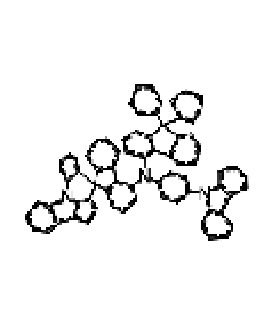 c1ccc(C2(c3ccccc3)c3ccccc3-c3c(N(c4ccc(-n5c6ccccc6c6ccccc65)cc4)c4cccc5c4-c4ccccc4C54c5ccccc5-n5c6ccccc6c6cccc4c65)cccc32)cc1